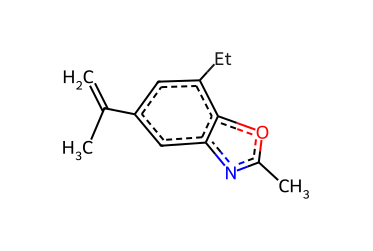 C=C(C)c1cc(CC)c2oc(C)nc2c1